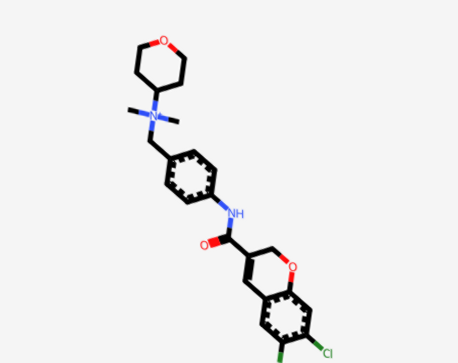 C[N+](C)(Cc1ccc(NC(=O)C2=Cc3cc(Cl)c(Cl)cc3OC2)cc1)C1CCOCC1